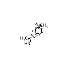 C=C(C=N)SSC1=CC=CC(C)(C(C)C)C=C1